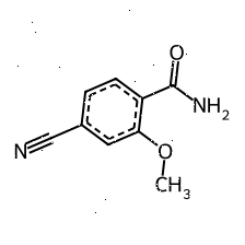 COc1cc(C#N)ccc1C(N)=O